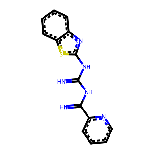 N=C(NC(=N)c1ccccn1)Nc1nc2ccccc2s1